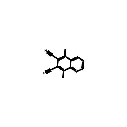 Cc1c(C#N)c(C#N)c(C)c2ccccc12